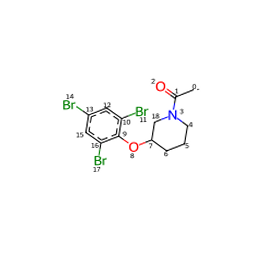 [CH2]C(=O)N1CCCC(Oc2c(Br)cc(Br)cc2Br)C1